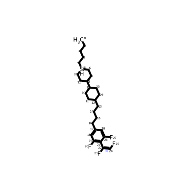 CCCCC[SiH]1CCC(C2CCC(CCCCc3cc(F)c(/C(F)=C\F)c(F)c3)CC2)CC1